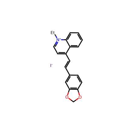 CC[n+]1ccc(/C=C/c2ccc3c(c2)OCO3)c2ccccc21.[I-]